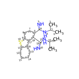 CC(C)NC(=N)c1ccc2sc3ccccc3c2c1C(=N)NC(C)C